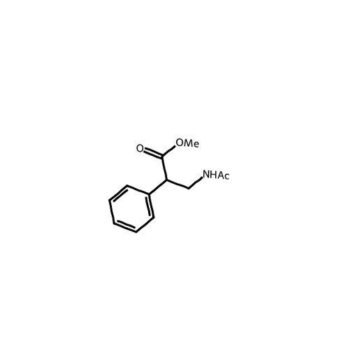 COC(=O)C(CNC(C)=O)c1ccccc1